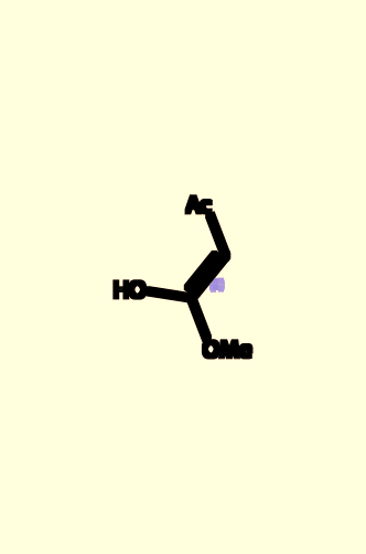 CO/C(O)=C/C(C)=O